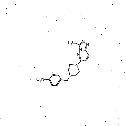 O=[N+]([O-])c1ccc(CN2CCN(c3ccc4nnc(C(F)(F)F)n4n3)CC2)cc1